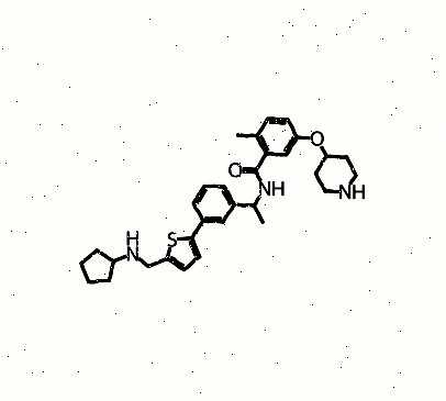 Cc1ccc(OC2CCNCC2)cc1C(=O)NC(C)c1cccc(-c2ccc(CNC3CCCC3)s2)c1